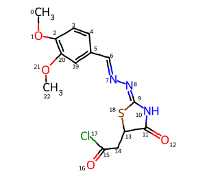 COc1ccc(C=NN=C2NC(=O)C(CC(=O)Cl)S2)cc1OC